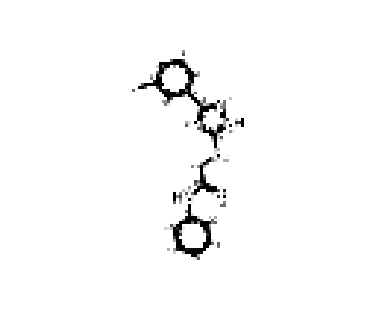 Cc1cccc(-c2n[nH]c(SCC(=O)Nc3ccccc3)n2)c1